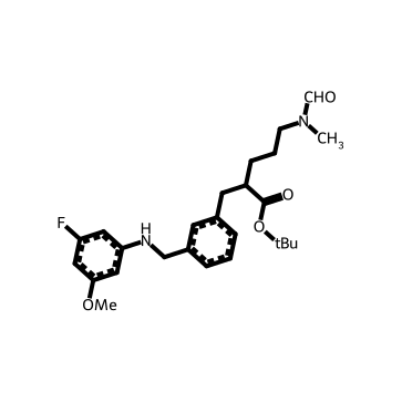 COc1cc(F)cc(NCc2cccc(CC(CCCN(C)C=O)C(=O)OC(C)(C)C)c2)c1